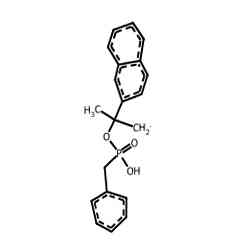 [CH2]C(C)(OP(=O)(O)Cc1ccccc1)c1ccc2ccccc2c1